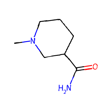 CN1CCCC(C(N)=O)C1